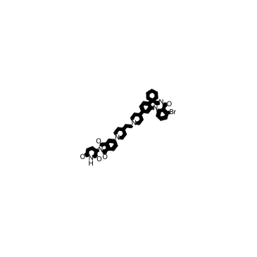 O=C1CCC(N2C(=O)c3ccc(N4CCC(CCN5CCC(c6ccc7c(c6)-n6c(nc(=O)c8c(Br)cccc86)C76CCCCC6)CC5)CC4)cc3C2=O)C(=O)N1